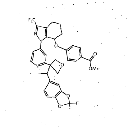 COC(=O)c1ccc(OC2CCCc3c(C(F)(F)F)nn(-c4ccnc(C5(C(C)c6ccc7c(c6)OC(F)(F)O7)COC5)c4)c32)cc1